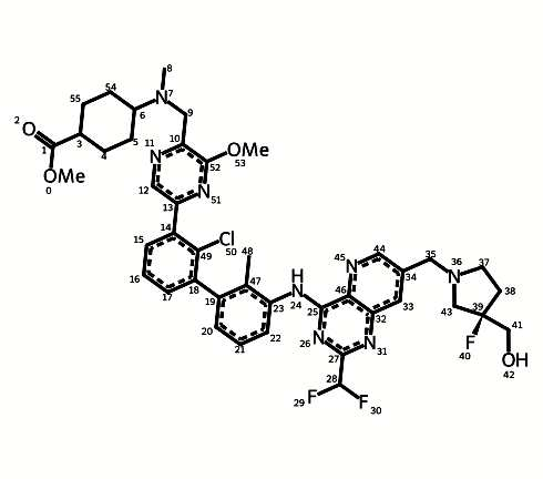 COC(=O)C1CCC(N(C)Cc2ncc(-c3cccc(-c4cccc(Nc5nc(C(F)F)nc6cc(CN7CC[C@](F)(CO)C7)cnc56)c4C)c3Cl)nc2OC)CC1